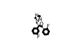 Fc1cccc([C@@]2(Cn3cncn3)O[C@@H]2c2ccccc2F)c1